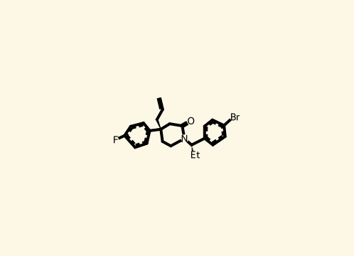 C=CC[C@]1(c2ccc(F)cc2)CCN([C@@H](CC)c2ccc(Br)cc2)C(=O)C1